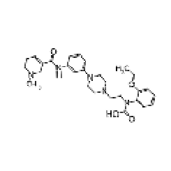 CCOc1ccccc1N(CCN1CCN(c2cccc(NC(=O)C3=CCCN(C)C3)c2)CC1)C(=O)O